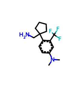 CN(C)c1ccc(C2(CN)CCCC2)c(C(F)(F)F)c1